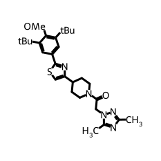 COc1c(C(C)(C)C)cc(-c2nc(C3CCN(C(=O)Cn4nc(C)nc4C)CC3)cs2)cc1C(C)(C)C